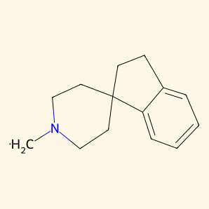 [CH2]N1CCC2(CCc3ccccc32)CC1